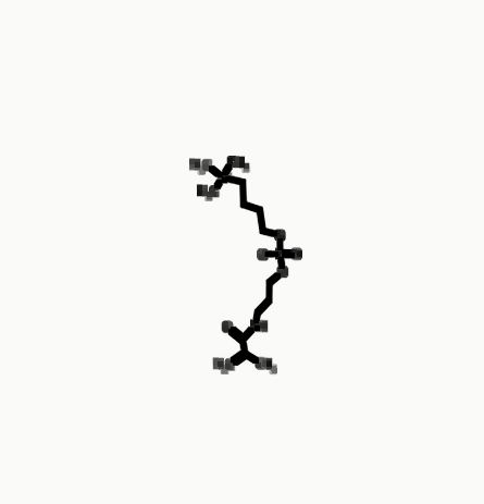 C=C(C)C(=O)NCCCOP(=O)([O-])OCCCC[N+](C)(C)C